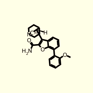 COc1ccccc1-c1cccc2c([C@@H]3CN4CCC3CC4)c(C(N)=O)oc12